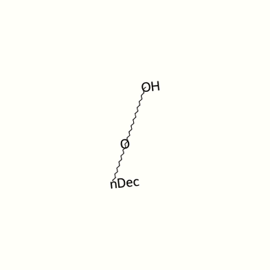 CCCCCCCCCCCCCCCCCCCCCCOCCCCCCCCCCCCCCCCCCO